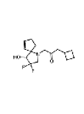 O=C(CC1CCC1)CN1CC(F)(F)C(O)C12C=CCC2